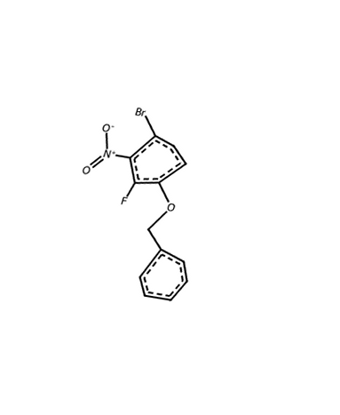 O=[N+]([O-])c1c(Br)ccc(OCc2ccccc2)c1F